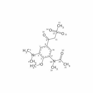 COc1c(N(C)C)cc(C(=O)CS(C)(=O)=O)cc1N(C)C(C)=O